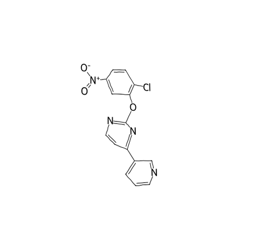 O=[N+]([O-])c1ccc(Cl)c(Oc2nccc(-c3cccnc3)n2)c1